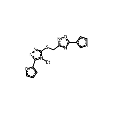 CCn1c(SCc2noc(-c3ccsc3)n2)nnc1-c1ccco1